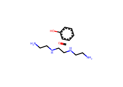 C=O.NCCNCCNCCN.Oc1ccccc1